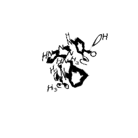 COc1cc(Nc2nc(NCc3ccccc3N(C)S(C)(=O)=O)c3cc[nH]c3n2)ccc1C(=O)O